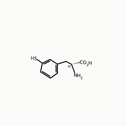 N[C@H](Cc1cccc(S)c1)C(=O)O